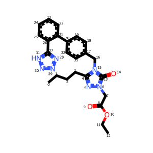 CCCCc1nn(CC(=O)OCC)c(=O)n1Cc1ccc(-c2ccccc2-c2nnn[nH]2)cc1